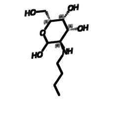 CCCCN[C@H]1C(O)O[C@H](CO)[C@H](O)[C@@H]1O